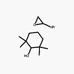 CC1(C)CCCC(C)(C)C1O.CCCC1CO1